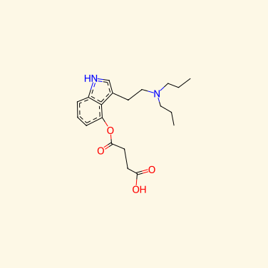 CCCN(CCC)CCc1c[nH]c2cccc(OC(=O)CCC(=O)O)c12